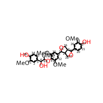 COc1cc(C(O)C(OC)Oc2c(OC)cc(C3OCC4C(c5ccc(O)c(OC)c5)OCC34)cc2OC)ccc1O